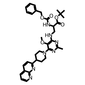 COc1c(NCC(NC(=O)OCc2ccccc2)C(=O)OC(C)(C)C)nc(C)nc1N1CCC(c2ccc3cccnc3n2)CC1